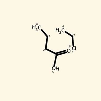 CCCC(=O)O.CCCl